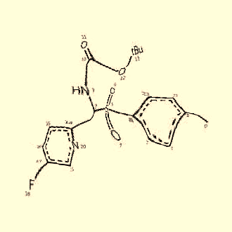 Cc1ccc(S(=O)(=O)C(NC(=O)OC(C)(C)C)c2ccc(F)cn2)cc1